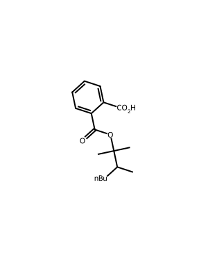 CCCCC(C)C(C)(C)OC(=O)c1ccccc1C(=O)O